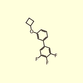 Fc1cc(-c2cccc(OC3CCC3)c2)cc(F)c1F